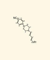 CCC/C=C/C=C/C1CCC(c2ccc(C#N)cc2)CC1